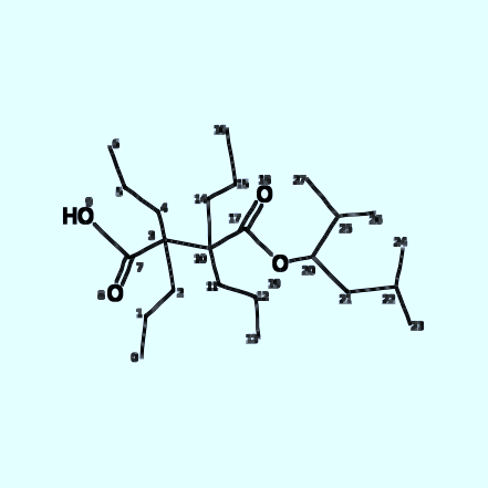 CCCC(CCC)(C(=O)O)C(CCC)(CCC)C(=O)OC(CC(C)C)C(C)C